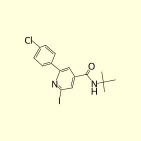 CC(C)(C)NC(=O)c1cc(I)nc(-c2ccc(Cl)cc2)c1